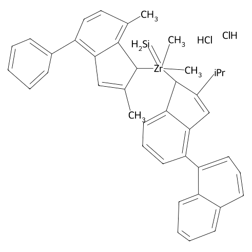 CC1=Cc2c(-c3ccccc3)ccc(C)c2[CH]1[Zr]([CH3])([CH3])(=[SiH2])[CH]1C(C(C)C)=Cc2c(-c3cccc4ccccc34)cccc21.Cl.Cl